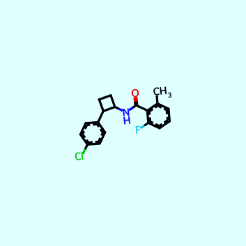 Cc1cccc(F)c1C(=O)NC1CCC1c1ccc(Cl)cc1